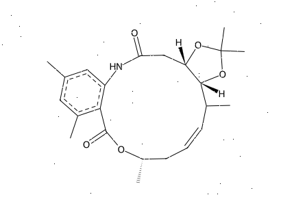 Cc1cc(C)c2c(c1)NC(=O)C[C@@H]1OC(C)(C)O[C@@H]1C(C)/C=C\C[C@H](C)OC2=O